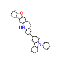 C1=Cc2cc3oc4ccccc4c3cc2Nc2ccc(-c3ccc4c(c3)c3ccccc3n4-c3ccccc3)cc21